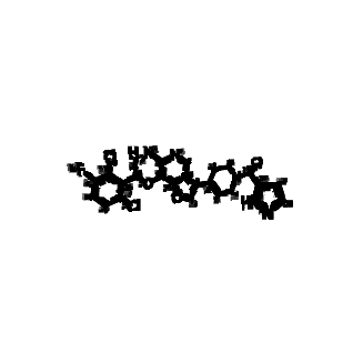 C[C@@H](Oc1c(N)ncc2c(C3=CCN(C(=O)c4ccn[nH]4)CC3)coc12)c1c(Cl)ccc(F)c1Cl